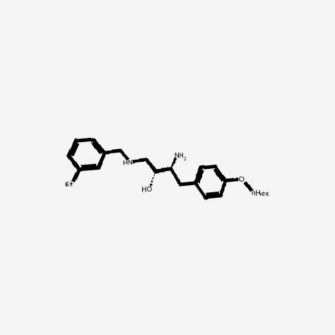 CCCCCCOc1ccc(C[C@H](N)[C@H](O)CNCc2cccc(CC)c2)cc1